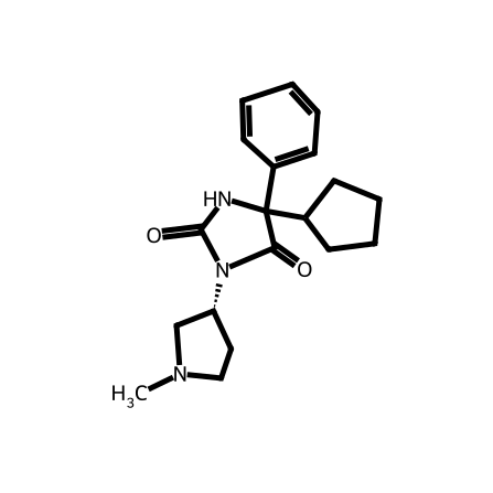 CN1CC[C@@H](N2C(=O)NC(c3ccccc3)(C3CCCC3)C2=O)C1